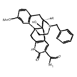 COc1ccc2c(c1)[C@]13CCN(Cc4ccccc4)[C@H](C2)[C@]1(O)Cc1cc(C(N)=O)c(=O)[nH]c1C3